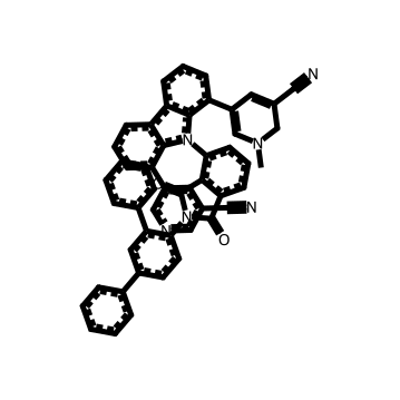 CN1C=C(c2cccc3c4cccc(-c5cncc(C#N)c5)c4n(-c4cccc5c4C(=O)N(c4ccc(-c6ccccc6)cc4-c4ccccc4)C5=O)c23)C=C(C#N)C1